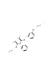 COCCOC(=O)C1=C(C)NC(C)=C(C(=O)Nc2cccc(C(=O)OCCC#N)c2)[C@@H]1c1ccccc1